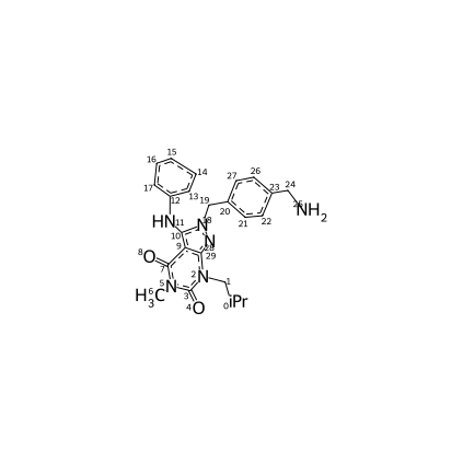 CC(C)Cn1c(=O)n(C)c(=O)c2c(Nc3ccccc3)n(Cc3ccc(CN)cc3)nc21